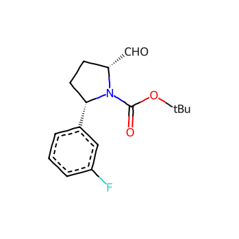 CC(C)(C)OC(=O)N1[C@@H](C=O)CC[C@H]1c1cccc(F)c1